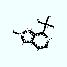 Cn1cc2ccnc(C(C)(C)C)c2n1